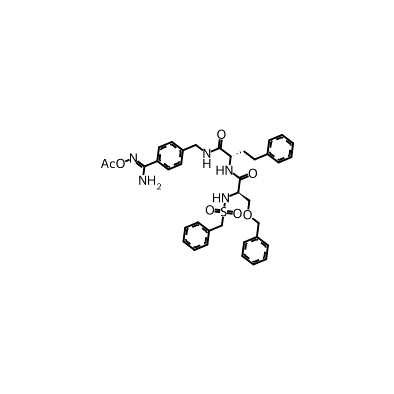 CC(=O)O/N=C(\N)c1ccc(CNC(=O)[C@H](CCc2ccccc2)NC(=O)[C@@H](COCc2ccccc2)NS(=O)(=O)Cc2ccccc2)cc1